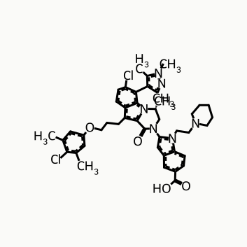 Cc1cc(OCCCc2c3n(c4c(-c5c(C)nn(C)c5C)c(Cl)ccc24)[C@H](C)CN(c2cc4cc(C(=O)O)ccc4n2CCN2CCCCC2)C3=O)cc(C)c1Cl